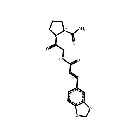 NC(=O)[C@@H]1CCCN1C(=O)CNC(=O)/C=C/c1ccc2c(c1)OCO2